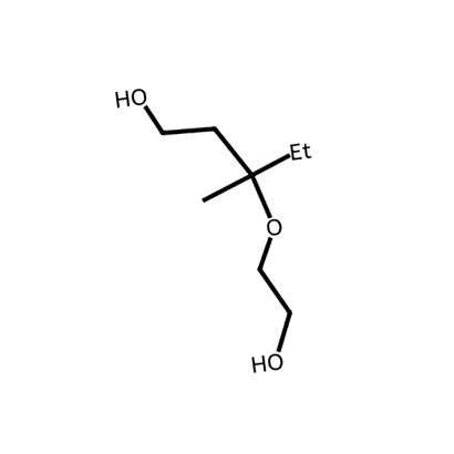 CCC(C)(CCO)OCCO